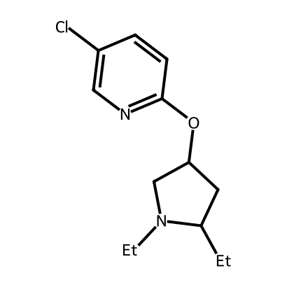 CCC1CC(Oc2ccc(Cl)cn2)CN1CC